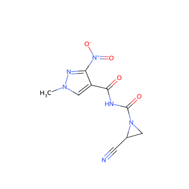 Cn1cc(C(=O)NC(=O)N2CC2C#N)c([N+](=O)[O-])n1